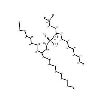 CCCCCCCCCCC(CCCCCCCC)COP(=O)(O)O.CCCCCCCCCCCCN(C)C